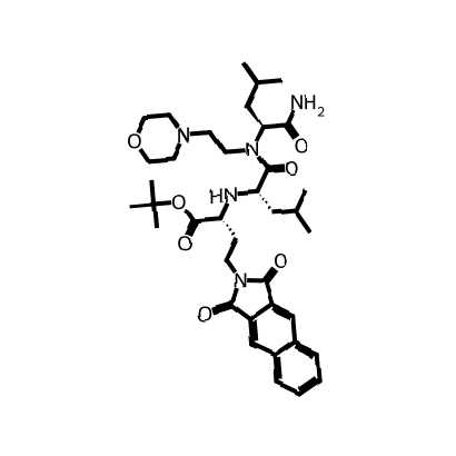 CC(C)C[C@H](N[C@H](CCN1C(=O)c2cc3ccccc3cc2C1=O)C(=O)OC(C)(C)C)C(=O)N(CCN1CCOCC1)[C@@H](CC(C)C)C(N)=O